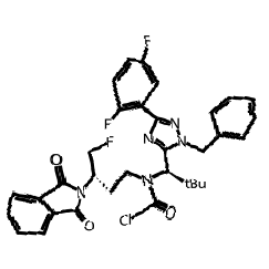 CC(C)(C)[C@H](c1nc(-c2cc(F)ccc2F)nn1Cc1ccccc1)N(CC[C@@H](CF)N1C(=O)c2ccccc2C1=O)C(=O)Cl